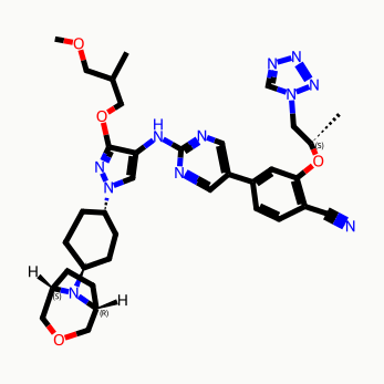 COCC(C)COc1nn([C@H]2CC[C@H](N3[C@@H]4CC[C@H]3COC4)CC2)cc1Nc1ncc(-c2ccc(C#N)c(O[C@@H](C)Cn3cnnn3)c2)cn1